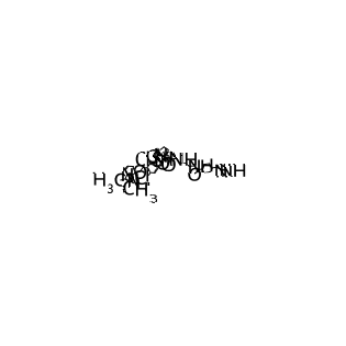 Cc1nc2c(OCc3c(Cl)ccc(S(=O)(=O)N4CCC[C@H]4C(=O)NCCCNC(=O)c4ccc(CN=N)cc4)c3Cl)cccn2c1C